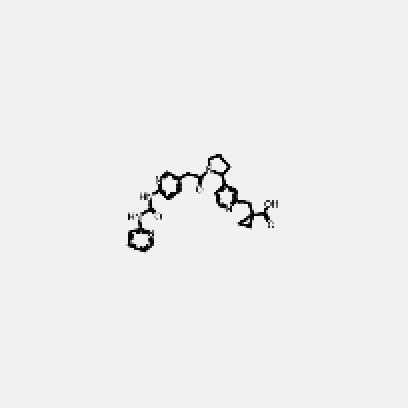 O=C(Nc1ccccn1)Nc1ccc(CC(=O)N2CCCC2c2ccnc(CC3(C(=O)O)CC3)c2)cn1